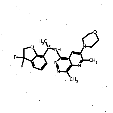 Cc1nc2c(C)nnc(N[C@H](C)c3cccc4c3OCC4(F)F)c2cc1N1CCOCC1